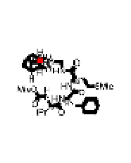 COC(=O)N[C@H](C(=O)N[C@@H](Cc1ccccc1)C(=O)N[C@@H](CCSC)C(=O)NCB1O[C@H]2[C@H]3CC(C[C@H]2O1)C3(C)C)C(C)C